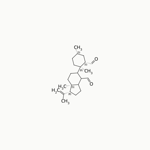 C=C(C)[C@H]1CCC2C(C=O)C([C@@]3(C)CC[C@H](C)C[C@@H]3C=O)CC[C@@]21C